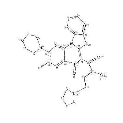 CN(CCN1CCCC1)C(=O)c1c(=O)c2cc(F)c(N3CCOCC3)nc2n2c1sc1ccccc12